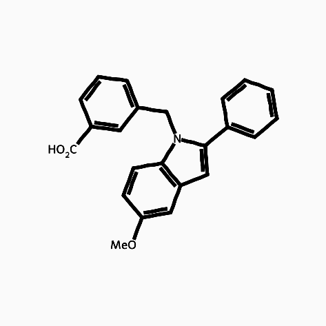 COc1ccc2c(c1)cc(-c1ccccc1)n2Cc1cccc(C(=O)O)c1